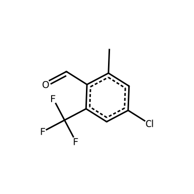 Cc1cc(Cl)cc(C(F)(F)F)c1C=O